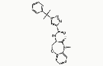 CN1C(=O)C(NC(=O)c2cn(C(C)(C)c3ccccc3)nn2)COc2ccccc21